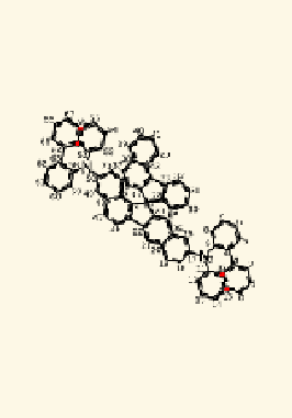 c1ccc(-c2ccccc2N(c2ccccc2)c2ccc3cc4c(cc3c2)C2(c3ccccc3-c3c2ccc2ccccc32)c2c-4ccc3cc(N(c4ccccc4)c4ccccc4-c4ccccc4)ccc23)cc1